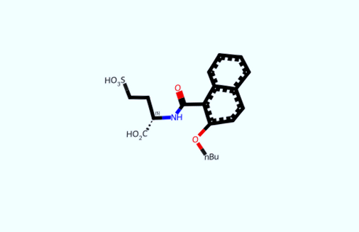 CCCCOc1ccc2ccccc2c1C(=O)N[C@@H](CCS(=O)(=O)O)C(=O)O